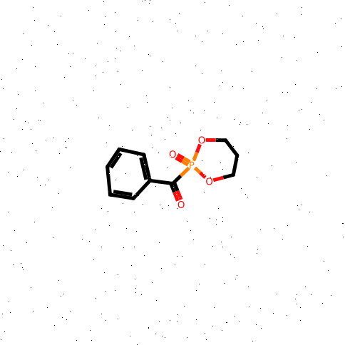 O=C(c1ccccc1)P1(=O)OCCCO1